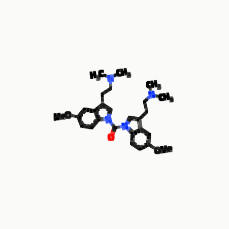 COc1ccc2c(c1)c(CCN(C)C)cn2C(=O)n1cc(CCN(C)C)c2cc(OC)ccc21